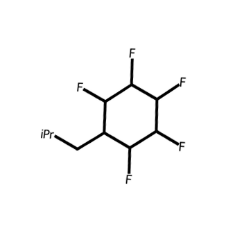 CC(C)CC1C(F)C(F)C(F)C(F)C1F